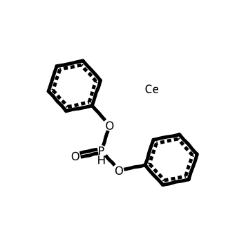 O=[PH](Oc1ccccc1)Oc1ccccc1.[Ce]